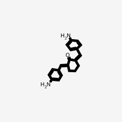 Nc1ccc(/C=C2/CCC/C(=C\c3ccc(N)cc3)C2=O)cc1